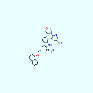 O=C(O)c1[nH]c2c(-c3cc([N+](=O)[O-])cnc3N3CCOCC3)cccc2c1CCCOc1cccc2ccccc12